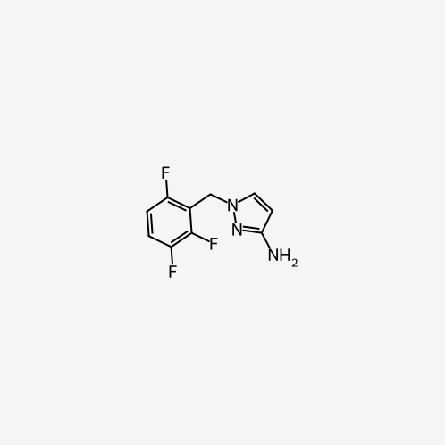 Nc1ccn(Cc2c(F)ccc(F)c2F)n1